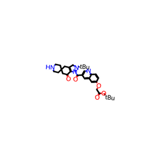 CC(C)(C)OC(=O)COc1ccc2ncc(C(=O)N3C4=C(CN3C(C)(C)C)CC3(CCNCC3)CC4=O)cc2c1